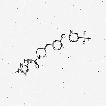 Cn1ncc(NC(=O)N2CCC(=Cc3cccc(Oc4ccc(C(F)(F)F)cn4)c3)CC2)n1